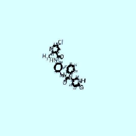 Cc1ncc(Cl)cc1C(=O)N[C@H]1CC[C@H](Cn2c(=O)n(-c3ccc(=O)[nH]c3)c3ccccc32)CC1